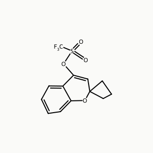 O=S(=O)(OC1=CC2(CCC2)Oc2ccccc21)C(F)(F)F